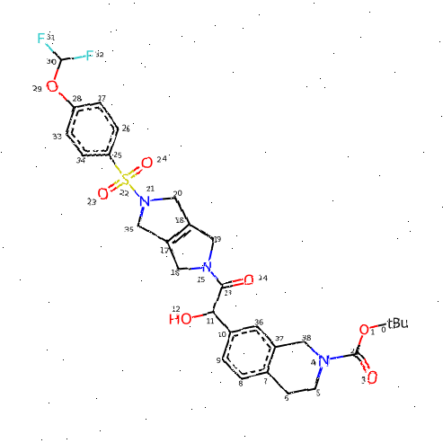 CC(C)(C)OC(=O)N1CCc2ccc(C(O)C(=O)N3CC4=C(C3)CN(S(=O)(=O)c3ccc(OC(F)F)cc3)C4)cc2C1